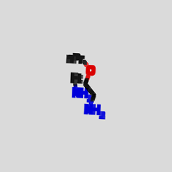 CCCOCCN.CCN